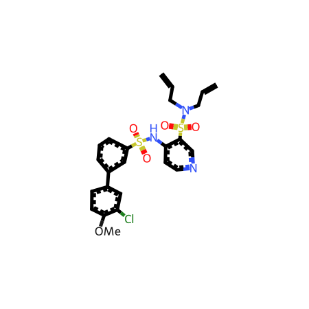 C=CCN(CC=C)S(=O)(=O)c1cnccc1NS(=O)(=O)c1cccc(-c2ccc(OC)c(Cl)c2)c1